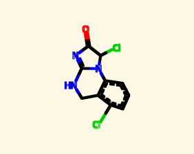 O=C1N=C2NCc3c(Cl)cccc3N2C1Cl